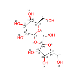 OC[C@H]1OC(O[C@@]2(CO)O[C@H](CO)[C@@H](O)[C@@H]2O)[C@H](O)[C@@H](O)[C@H]1O